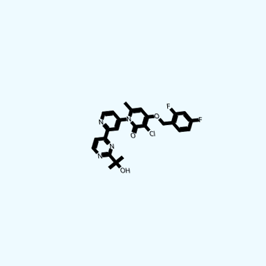 Cc1cc(OCc2ccc(F)cc2F)c(Cl)c(=O)n1-c1ccnc(-c2ccnc(C(C)(C)O)n2)c1